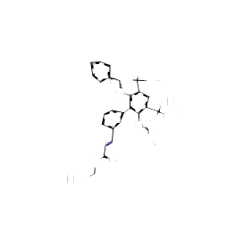 CCOC(=O)/C=C/c1cccc(-c2c(OCOC)c(C(C)(C)C)cc(C(C)(C)C)c2OCc2ccccc2)c1